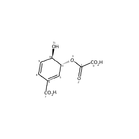 O=C(O)C(=O)O[C@@H]1C=C(C(=O)O)C=C[C@H]1O